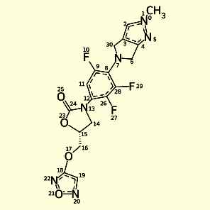 Cn1cc2c(n1)CN(c1c(F)cc(N3C[C@H](COc4cnon4)OC3=O)c(F)c1F)C2